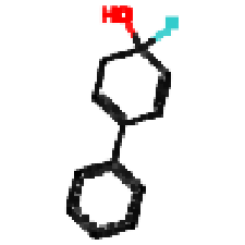 OC1(F)C=CC(c2ccccc2)=CC1